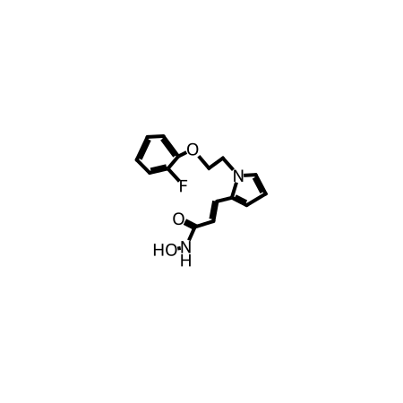 O=C(/C=C/c1cccn1CCOc1ccccc1F)NO